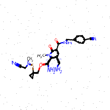 CN(CC#N)SC1(CO/C(N)=c2/c(=C\N)cc(C(=O)NCc3ccc(C#N)cc3)c(=O)n2C)CC1